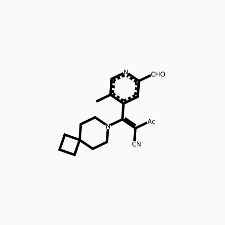 CC(=O)/C(C#N)=C(\c1cc(C=O)ncc1C)N1CCC2(CCC2)CC1